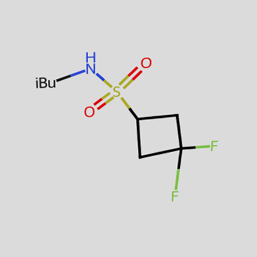 CCC(C)NS(=O)(=O)C1CC(F)(F)C1